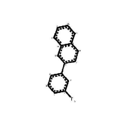 Fc1cc[c]c(-c2ccc3ccccc3c2)c1